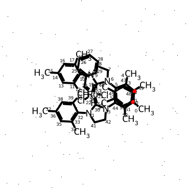 Cc1cc(C)c(N2CCN(c3c(C)cc(C)cc3C)[C]2=[Ru]([Cl])([Cl])(=[CH]c2ccccc2)=[C]2N(c3c(C)cc(C)cc3C)CCN2c2c(C)cc(C)cc2C)c(C)c1